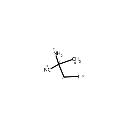 CC(N)(C#N)CI